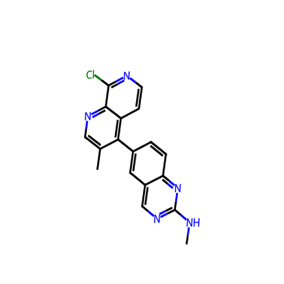 CNc1ncc2cc(-c3c(C)cnc4c(Cl)nccc34)ccc2n1